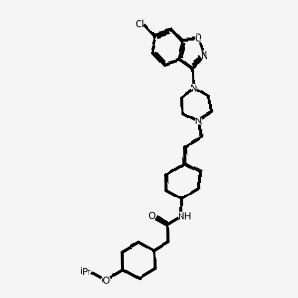 CC(C)OC1CCC(CC(=O)NC2CCC(CCN3CCN(c4noc5cc(Cl)ccc45)CC3)CC2)CC1